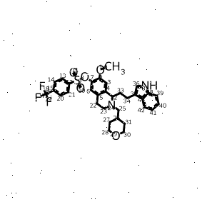 COc1cc2c(cc1OS(=O)(=O)c1ccc(C(F)(F)F)cc1)CCN(CC1CCOCC1)C2CCc1c[nH]c2ccccc12